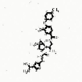 C=C(CNC(=O)c1ccc(Oc2ccc(C)cc2)c(C)c1)N1C2C[C@@]2(C)C[C@H]1C(=O)NCc1cc(C(=N)N)cs1